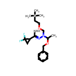 CN/C(=N\N(COCC[Si](C)(C)C)C(C)OCc1ccccc1)C1CC1(F)F